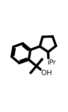 CC(C)C1CCCC1c1ccccc1C(C)(C)O